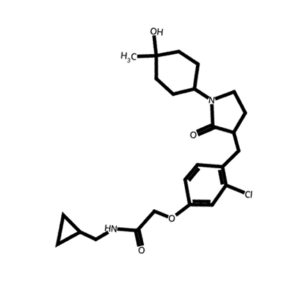 CC1(O)CCC(N2CCC(Cc3ccc(OCC(=O)NCC4CC4)cc3Cl)C2=O)CC1